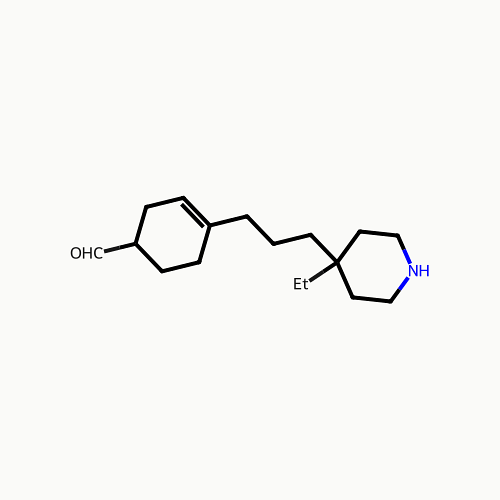 CCC1(CCCC2=CCC(C=O)CC2)CCNCC1